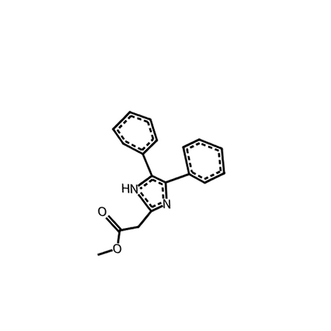 COC(=O)Cc1nc(-c2ccccc2)c(-c2ccccc2)[nH]1